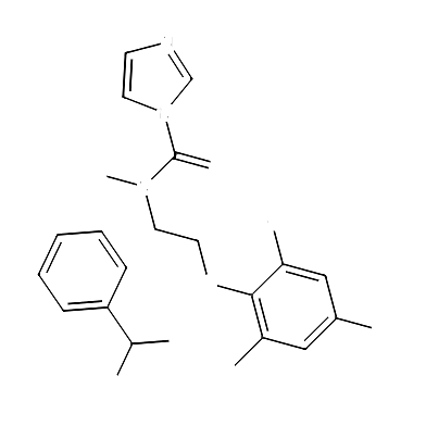 CCC(C(=O)O)c1ccccc1.CCCN(CCOc1c(Cl)cc(Cl)cc1Cl)C(=O)n1ccnc1